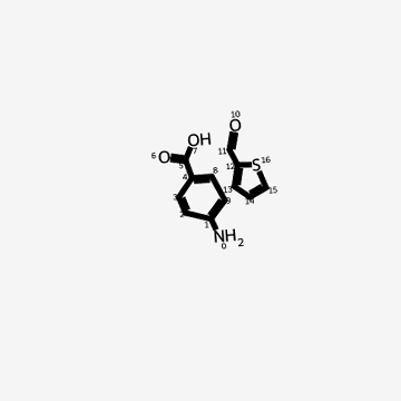 Nc1ccc(C(=O)O)cc1.O=Cc1cccs1